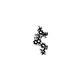 CN1CC(C)(C)CC1c1nnc2ccc(O[C@@H]3CC[C@H](NC(=O)Nc4cc(NS(C)(=O)=O)cc(C(C)(C)C)c4)c4ccccc43)cn12